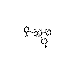 CSc1ccccc1CSc1nc(-c2ccccn2)c(-c2ccc(F)cc2)[nH]1